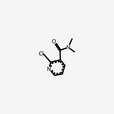 CN(C)C(=O)c1cccnc1Cl